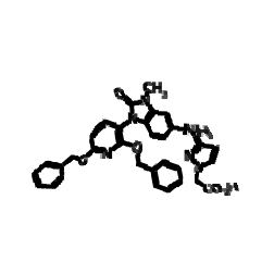 Cn1c(=O)n(-c2ccc(OCc3ccccc3)nc2OCc2ccccc2)c2ccc(Nc3ccn(CC(=O)O)n3)cc21